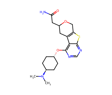 CN(C)[C@H]1CC[C@H](Oc2ncnc3sc4c(c23)CC(CC(N)=O)OC4)CC1